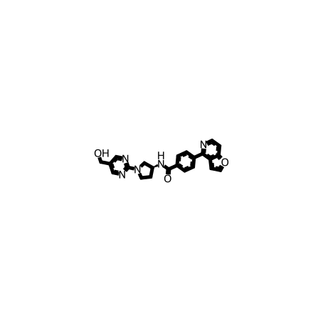 O=C(N[C@H]1CCN(c2ncc(CO)cn2)C1)c1ccc(-c2nccc3occc23)cc1